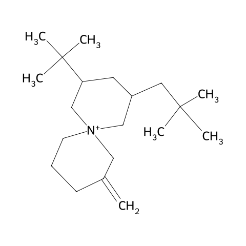 C=C1CCC[N+]2(C1)CC(CC(C)(C)C)CC(C(C)(C)C)C2